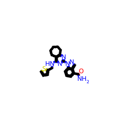 NC(=O)c1cccc2c1cnn2-c1nc2c(c(NCc3cccs3)n1)CCCCC2